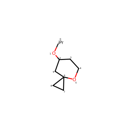 CC(C)OC1CCOC2(CC2)C1